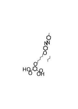 CCCC.Cc1ccc(/N=N/c2ccc(OCCCCCCOc3cc(C(=O)O)cc(C(=O)O)c3)cc2)cc1